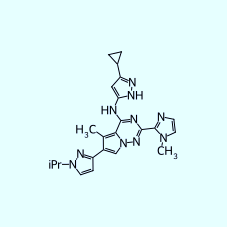 Cc1c(-c2ccn(C(C)C)n2)cn2nc(-c3nccn3C)nc(Nc3cc(C4CC4)n[nH]3)c12